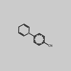 N#Cc1ccc(N2C=CCC=C2)cc1